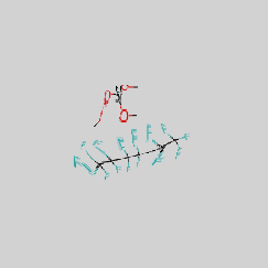 CO[SiH](OC)OC.FC(F)(F)C(F)(F)C(F)(F)C(F)(F)C(F)(F)C(F)(F)F